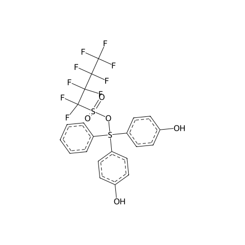 O=S(=O)(OS(c1ccccc1)(c1ccc(O)cc1)c1ccc(O)cc1)C(F)(F)C(F)(F)C(F)(F)C(F)(F)F